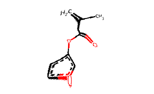 C=C(C)C(=O)Oc1ccoc1